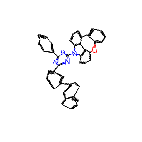 c1ccc(-c2nc(-c3cccc(-c4ccc5ccccc5c4)c3)nc(-n3c4cccc5oc6ccccc6c6cccc3c6c54)n2)cc1